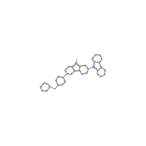 Cn1c2ccc(-c3ccc(Cc4ccccc4)cc3)cc2c2ccc(-n3c4ccccc4c4ccccc43)cc21